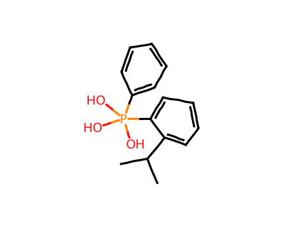 CC(C)c1ccccc1P(O)(O)(O)c1ccccc1